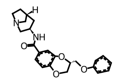 O=C(N[C@@H]1C[C@H]2CCN(C2)C1)c1ccc2c(c1)O[C@H](COc1ccccc1)CO2